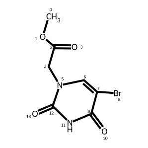 COC(=O)Cn1cc(Br)c(=O)[nH]c1=O